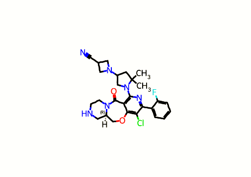 CC1(C)CC(N2CC(C#N)C2)CN1c1nc(-c2ccccc2F)c(Cl)c2c1C(=O)N1CCNC[C@@H]1CO2